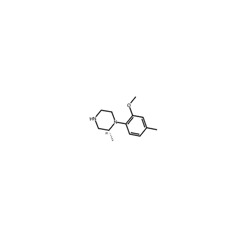 COc1cc(C)ccc1N1CCNC[C@H]1C